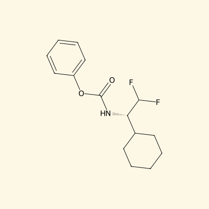 O=C(N[C@H](C(F)F)C1CCCCC1)Oc1ccccc1